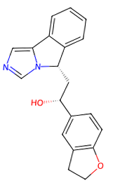 O[C@H](C[C@H]1c2ccccc2-c2cncn21)c1ccc2c(c1)CCO2